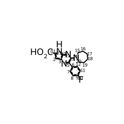 O=C(O)c1cc2nc(-c3ccc(F)cc3)c(N3CCCCCC3)nc2[nH]1